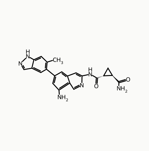 Cc1cc2[nH]ncc2cc1-c1cc(N)c2cnc(NC(=O)[C@@H]3C[C@H]3C(N)=O)cc2c1